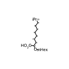 CCCCCCOC(CCCCCCCC(C)C)C(=O)O